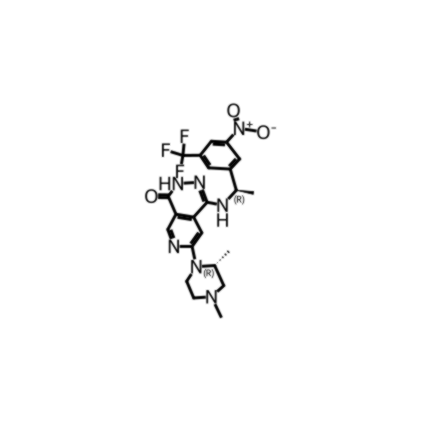 C[C@@H]1CN(C)CCN1c1cc2c(N[C@H](C)c3cc([N+](=O)[O-])cc(C(F)(F)F)c3)n[nH]c(=O)c2cn1